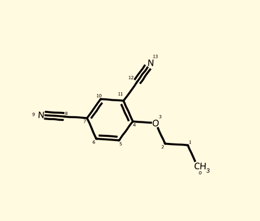 CCCOc1ccc(C#N)cc1C#N